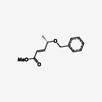 COC(=O)/C=C/[C@H](C)OCc1ccccc1